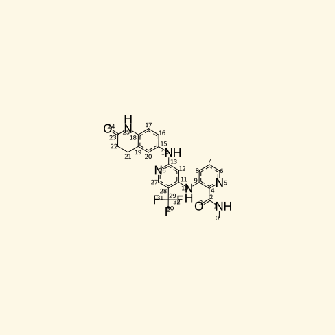 CNC(=O)c1ncccc1Nc1cc(Nc2ccc3c(c2)CCC(=O)N3)ncc1C(F)(F)F